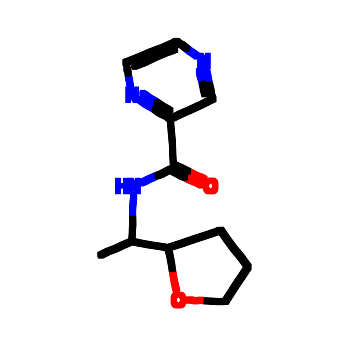 CC(NC(=O)c1cnccn1)C1CCCO1